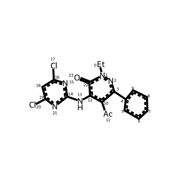 CCn1nc(-c2ccccc2)c(C(C)=O)c(Nc2nc(Cl)cc(Cl)n2)c1=O